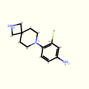 Nc1ccc(N2CCC3(CC2)CNC3)c(F)c1